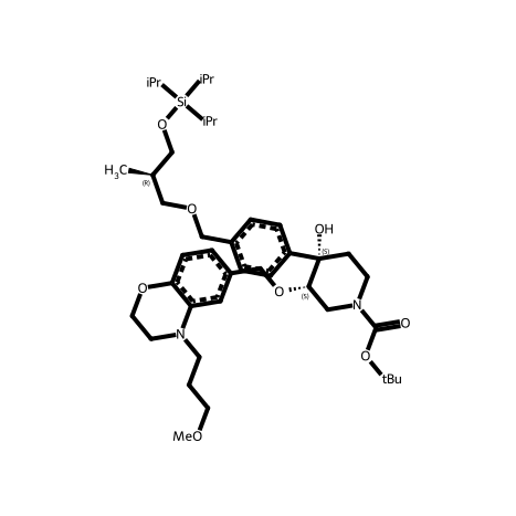 COCCCN1CCOc2ccc(CO[C@H]3CN(C(=O)OC(C)(C)C)CC[C@]3(O)c3ccc(COC[C@@H](C)CO[Si](C(C)C)(C(C)C)C(C)C)cc3)cc21